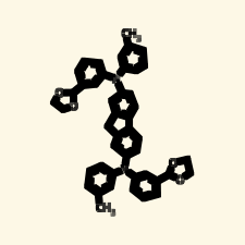 Cc1cccc(N(c2cccc(C3OCCO3)c2)c2ccc3c(c2)Cc2cc(N(c4cccc(C)c4)c4cccc(C5OCCO5)c4)ccc2-3)c1